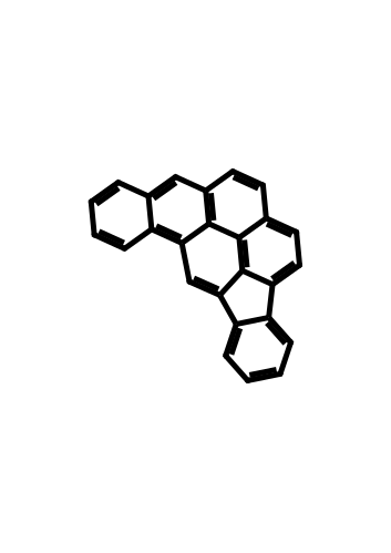 c1ccc2c(c1)-c1ccc3ccc4cc5ccccc5c5cc-2c1c3c45